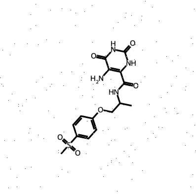 CC(COc1ccc(S(C)(=O)=O)cc1)NC(=O)c1[nH]c(=O)[nH]c(=O)c1N